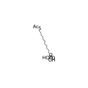 CC(=O)SCCCCCCCCCCCOP(=O)(O)O